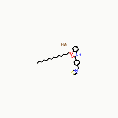 Br.CCCCCCCCCCCCCCOc1ccccc1NC(=O)c1ccc(CN2C=CSC2)cc1